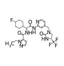 CCn1nccc1C(=O)N[C@H](C(=O)Nc1cc(CN2C[C@@H](C(F)(F)F)NC2=O)ccn1)C1CCC(F)CC1